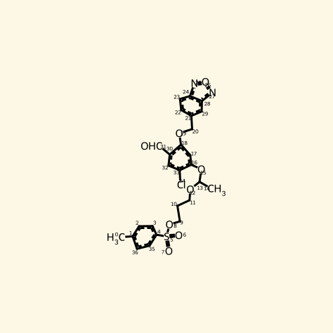 Cc1ccc(S(=O)(=O)OCCCOC(C)Oc2cc(OCc3ccc4nonc4c3)c(C=O)cc2Cl)cc1